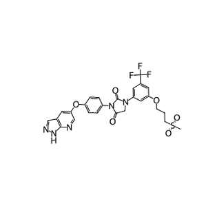 CS(=O)(=O)CCCOc1cc(N2CC(=O)N(c3ccc(Oc4cnc5[nH]ncc5c4)cc3)C2=O)cc(C(F)(F)F)c1